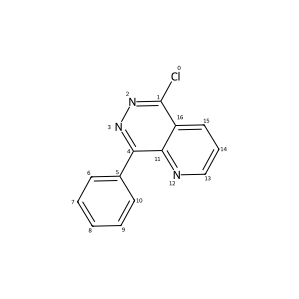 Clc1nnc(-c2ccccc2)c2ncccc12